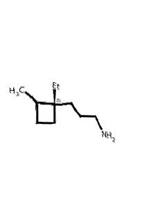 CC[C@@]1(CCCN)CCC1C